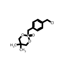 CC1(C)COP(=O)(Cc2ccc(CCl)cc2)OC1